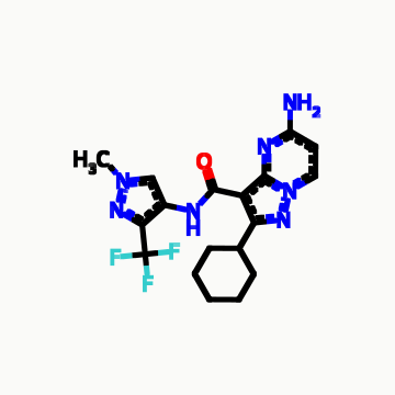 Cn1cc(NC(=O)c2c(C3CCCCC3)nn3ccc(N)nc23)c(C(F)(F)F)n1